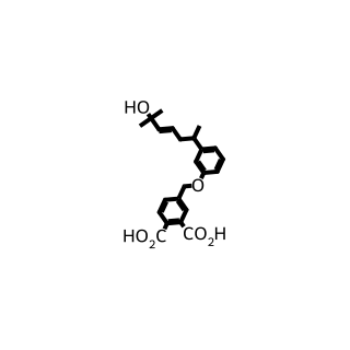 CC(CC=CC(C)(C)O)c1cccc(OCc2ccc(C(=O)O)c(C(=O)O)c2)c1